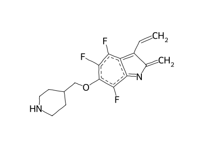 C=CC1=c2c(F)c(F)c(OCC3CCNCC3)c(F)c2=NC1=C